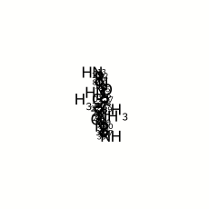 Cc1c(NC(=O)c2ccc3c(n2)CCNC3)cccc1-c1cccc(NC(=O)c2ccc3c(n2)CCNC3)c1C